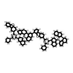 c1ccc(-c2nc(-c3cc(N4c5c(ccc6ccccc56)-c5cc(-c6cccc7c6oc6cc(-c8nc(-c9ccccc9)nc(-c9ccc(N%10c%11c(ccc%12ccccc%11%12)-c%11cccc%12cccc%10c%11%12)c%10ccccc9%10)n8)ccc67)cc6cccc4c56)c4ccccc4c3)nc(-c3ccc4oc5ccccc5c4c3)n2)cc1